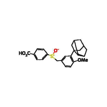 COc1ccc(C[S+]([O-])c2ccc(C(=O)O)cc2)cc1C12CC3CC(CC(C3)C1)C2